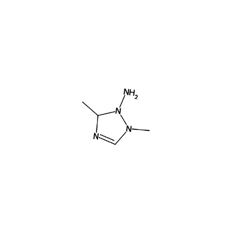 CC1N=CN(C)N1N